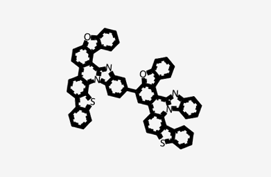 c1ccc2c(c1)nc1c3c(cc(-c4ccc5c(c4)nc4c6c(ccc7oc8ccccc8c76)c6ccc7c8ccccc8sc7c6n54)c4oc5ccccc5c43)c3ccc4sc5ccccc5c4c3n21